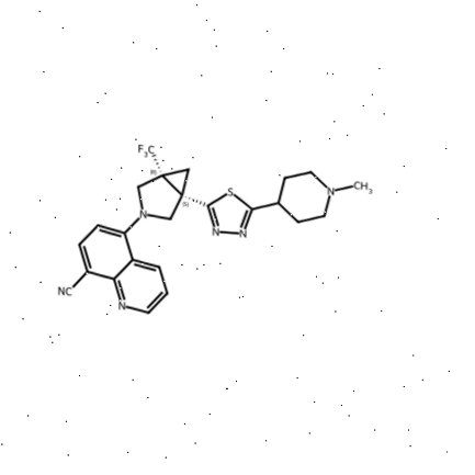 CN1CCC(c2nnc([C@]34CN(c5ccc(C#N)c6ncccc56)C[C@@]3(C(F)(F)F)C4)s2)CC1